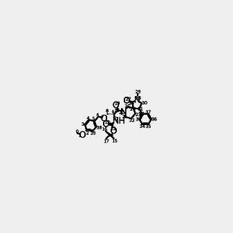 COc1ccc(COC[C@@H](NC(=O)OC(C)(C)C)C(=O)N2CCCC3(C2)C(=O)N(C)CC3c2ccccc2)cc1